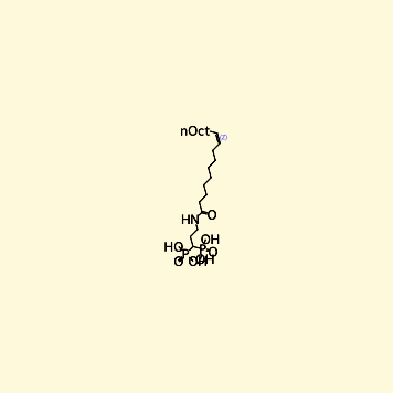 CCCCCCCC/C=C\CCCCCCCC(=O)NCCC(P(=O)(O)O)P(=O)(O)O